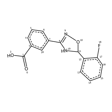 O=C(O)c1cccc(C2=NOC(c3ccccc3F)N2)c1